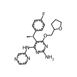 C[C@@H](c1ccc(F)cc1)c1c(Nc2cnccn2)nc(N)nc1OCC1CCCO1